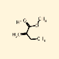 C=C(CC)C(=O)OC.[H+]